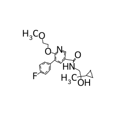 COCCOc1ncc(C(=O)NCC(C)(O)C2CC2)cc1-c1ccc(F)cc1